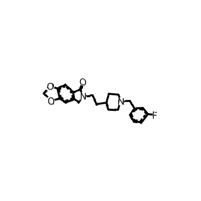 O=C1c2cc3c(cc2CN1CCC1CCN(Cc2cccc(F)c2)CC1)OCO3